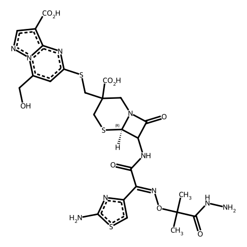 CC(C)(ON=C(C(=O)NC1C(=O)N2CC(CSc3cc(CO)n4ncc(C(=O)O)c4n3)(C(=O)O)CS[C@H]12)c1csc(N)n1)C(=O)NN